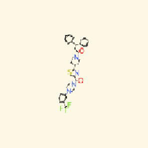 O=C(CC(c1ccccc1)c1ccccc1)N1CCC(c2nc(C(=O)N3CCN(c4cccc(C(F)(F)F)c4)CC3)cs2)CC1